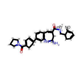 CCCN(CC1CC=CC=C1N=O)C(=O)C1=Cc2ccc(C3=CC=C(C(=O)N4CCCC4)CC3)cc2NC(N)C1